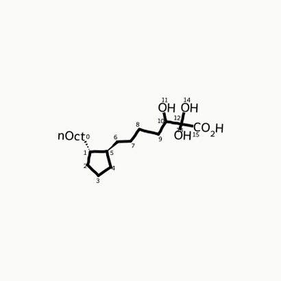 CCCCCCCC[C@H]1CCC[C@@H]1CCCCC(O)C(O)(O)C(=O)O